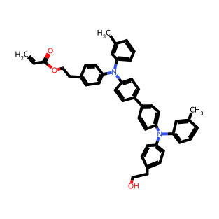 C=CC(=O)OCCc1ccc(N(c2ccc(-c3ccc(N(c4ccc(CCO)cc4)c4cccc(C)c4)cc3)cc2)c2cccc(C)c2)cc1